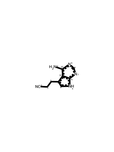 N#CCCc1c[nH]c2ncnc(N)c12